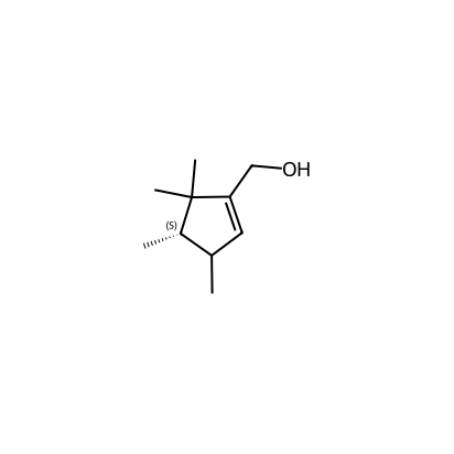 CC1C=C(CO)C(C)(C)[C@H]1C